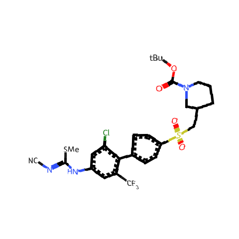 CS/C(=N\C#N)Nc1cc(Cl)c(-c2ccc(S(=O)(=O)CC3CCCN(C(=O)OC(C)(C)C)C3)cc2)c(C(F)(F)F)c1